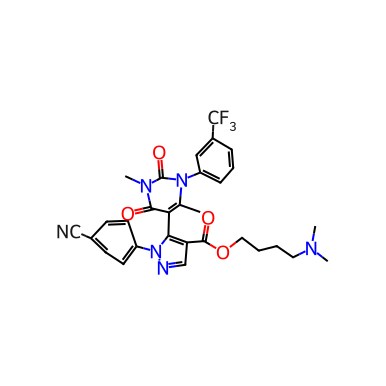 Cc1c(-c2c(C(=O)OCCCCN(C)C)cnn2-c2ccc(C#N)cc2)c(=O)n(C)c(=O)n1-c1cccc(C(F)(F)F)c1